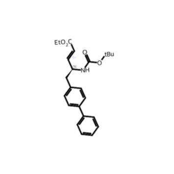 CCOC(=O)/C=C/[C@H](Cc1ccc(-c2ccccc2)cc1)NC(=O)OC(C)(C)C